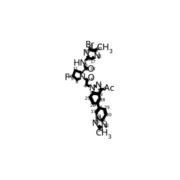 CC(=O)c1nn(CC(=O)N2C[C@H](F)C[C@H]2C(=O)Nc2cnc(C)c(Br)n2)c2ccc(-c3ccc4nc(C)nn4c3)cc12